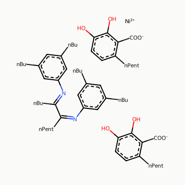 CCCCCC(=Nc1cc(CCCC)cc(CCCC)c1)C(CCCC)=Nc1cc(CCCC)cc(CCCC)c1.CCCCCc1ccc(O)c(O)c1C(=O)[O-].CCCCCc1ccc(O)c(O)c1C(=O)[O-].[Ni+2]